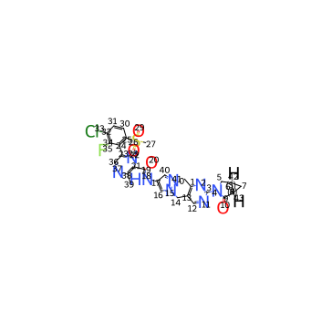 Cc1nc(N2C[C@H]3C[C@H]3C2=O)ncc1Cn1cc(NC(=O)c2nc(-c3c(S(C)(=O)=O)ccc(Cl)c3F)cnc2C)cn1